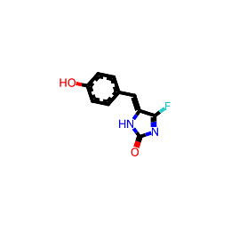 O=C1N=C(F)C(=Cc2ccc(O)cc2)N1